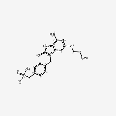 COCCOc1cc2c([nH]c(=O)n2Cc2ccc(CP(=O)(O)O)cc2)c(N)n1